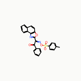 Cc1ccc(S(=O)(=O)O/N=C(\C(=O)c2ccccc2)c2nc3c(ccc4ccccc43)o2)cc1